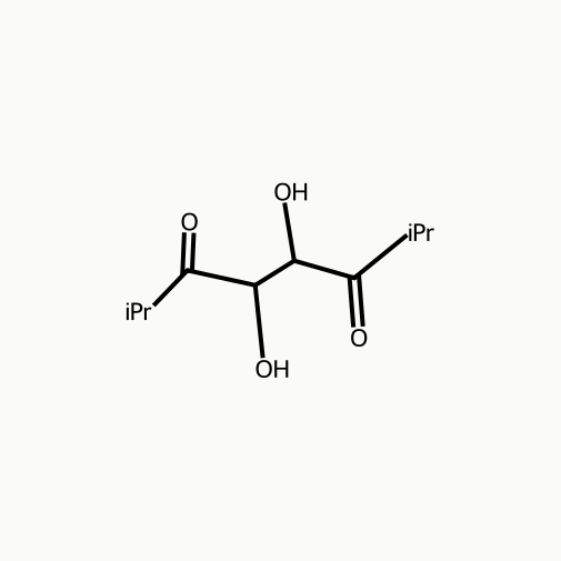 CC(C)C(=O)C(O)C(O)C(=O)C(C)C